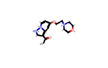 CC(C)C(=O)C1=C2C=C(OCCN3CCOCC3)C=CN2NC1